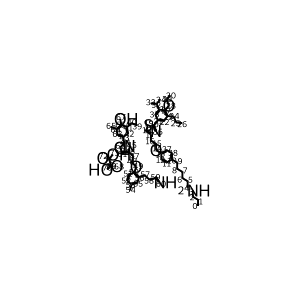 CCCNCCCCCCc1ccc(OCCc2csc(-c3cc(CCC)c(OCC)c(C(C)C)c3)n2)cc1.CCc1cc(-c2nc(CCOc3ccc(C)cc3CCCN)co2)cc(C)c1O.O=C(O)C(=O)O